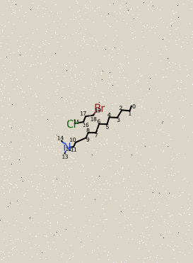 CCCCCCCCCCCCN(C)C.ClCCCBr